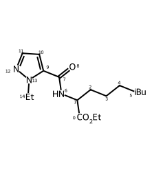 CCOC(=O)C(CCCC(C)CC)NC(=O)c1ccnn1CC